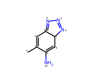 CC1=CC2=NN=NC2C=C1N